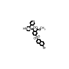 COC(=O)c1cc(S(=O)(=O)c2ccc3cc(Br)ccc3c2)ccc1C(=O)N1CCNCC1c1ccncc1